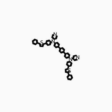 c1ccc(-c2ccc(-c3ccc(N(c4ccncc4)c4ccc(-c5ccc(-c6ccc(N(c7ccncc7)c7ccc(-c8ccc(-c9ccccc9)s8)cc7)cc6)cc5)cc4)cc3)s2)cc1